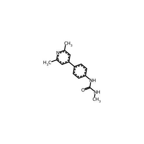 CNC(=O)Nc1ccc(-c2cc(C)nc(C)c2)cc1